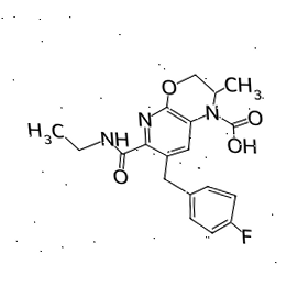 CCNC(=O)c1nc2c(cc1Cc1ccc(F)cc1)N(C(=O)O)C(C)CO2